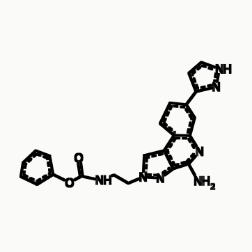 Nc1nc2cc(-c3cc[nH]n3)ccc2c2cn(CCNC(=O)Oc3ccccc3)nc12